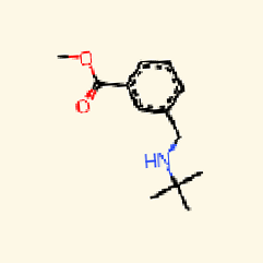 COC(=O)c1cccc(CNC(C)(C)C)c1